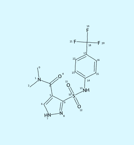 CN(C)C(=O)c1c[nH]nc1S(=O)(=O)Nc1ccc(C(F)(F)F)cc1